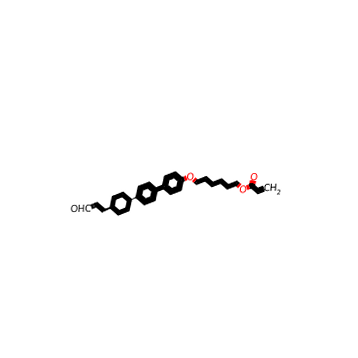 C=CC(=O)OCCCCCCOc1ccc(-c2ccc([C@H]3CC[C@H](CCC=O)CC3)cc2)cc1